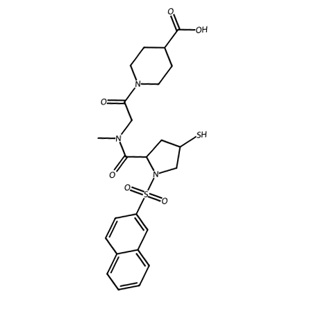 CN(CC(=O)N1CCC(C(=O)O)CC1)C(=O)C1CC(S)CN1S(=O)(=O)c1ccc2ccccc2c1